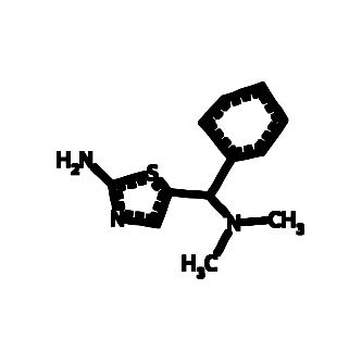 CN(C)C(c1ccccc1)c1cnc(N)s1